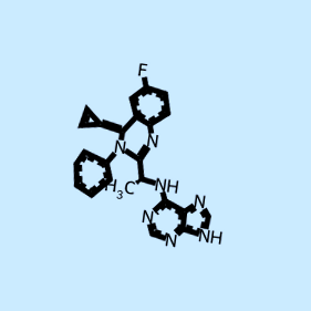 C[C@H](Nc1ncnc2[nH]cnc12)C1=Nc2ccc(F)cc2C(=C2C=C2)N1c1ccccc1